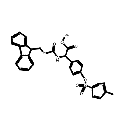 Cc1ccc(S(=O)(=O)Oc2ccc(C(NC(=O)OCC3c4ccccc4-c4ccccc43)C(=O)OC(C)C)cc2)cc1